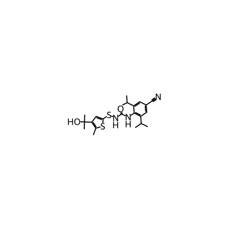 Cc1sc(SNC(=O)Nc2c(C(C)C)cc(C#N)cc2C(C)C)cc1C(C)(C)O